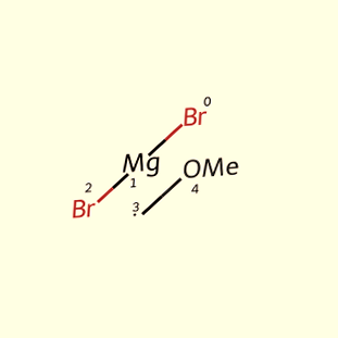 [Br][Mg][Br].[CH2]OC